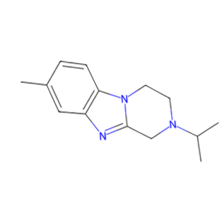 Cc1ccc2c(c1)nc1n2CCN(C(C)C)C1